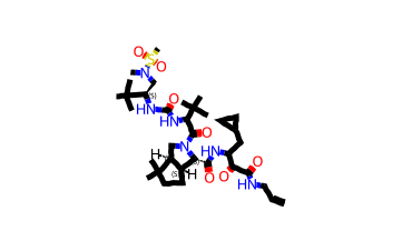 C=CCNC(=O)C(=O)C(CC1CC1)NC(=O)[C@@H]1[C@H]2CCC(C)(C)[C@H]2CN1C(=O)C(NC(=O)N[C@H](CN(C)S(C)(=O)=O)C(C)(C)C)C(C)(C)C